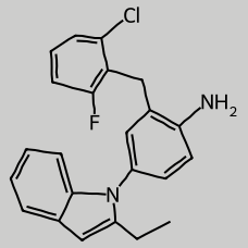 CCc1cc2ccccc2n1-c1ccc(N)c(Cc2c(F)cccc2Cl)c1